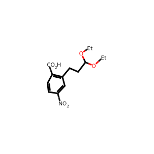 CCOC(CCc1cc([N+](=O)[O-])ccc1C(=O)O)OCC